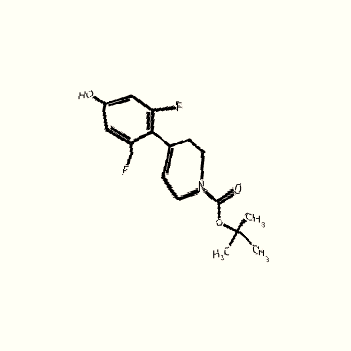 CC(C)(C)OC(=O)N1CC=C(c2c(F)cc(O)cc2F)CC1